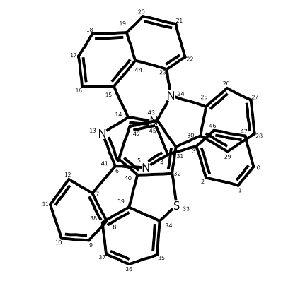 c1ccc(-c2nc(-c3ccccc3)nc(-c3cccc4cccc(-n5c6ccccc6c6c7sc8ccccc8c7ccc65)c34)n2)cc1